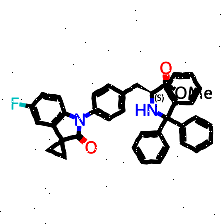 COC(=O)[C@H](Cc1ccc(N2C(=O)C3(CC3)c3cc(F)ccc32)cc1)NC(c1ccccc1)(c1ccccc1)c1ccccc1